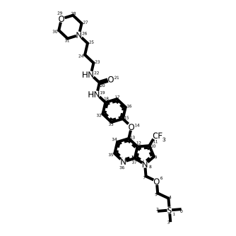 CS(C)(C)CCOCn1cc(C(F)(F)F)c2c(Oc3ccc(NC(=O)NCCCN4CCOCC4)cc3)ccnc21